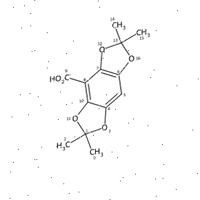 CC1(C)Oc2cc3c(c(C(=O)O)c2O1)OC(C)(C)O3